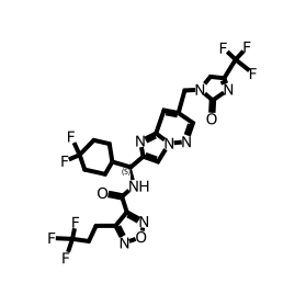 O=C(N[C@H](c1cn2ncc(CN3CC(C(F)(F)F)=NC3=O)cc2n1)C1CCC(F)(F)CC1)c1nonc1CCC(F)(F)F